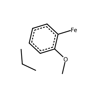 CCC.COc1cccc[c]1[Fe]